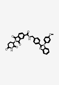 COc1ccc(-n2c(-c3ccc(CNC(=O)c4ccc5c(c4)C(=O)N(C4CCC(=O)NC4=O)C5=O)cc3)nc3ccccc32)cc1